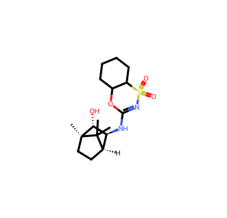 CC1(C)[C@@H]2CC[C@@]1(C)[C@H](O)[C@H]2NC1=NS(=O)(=O)C2CCCCC2O1